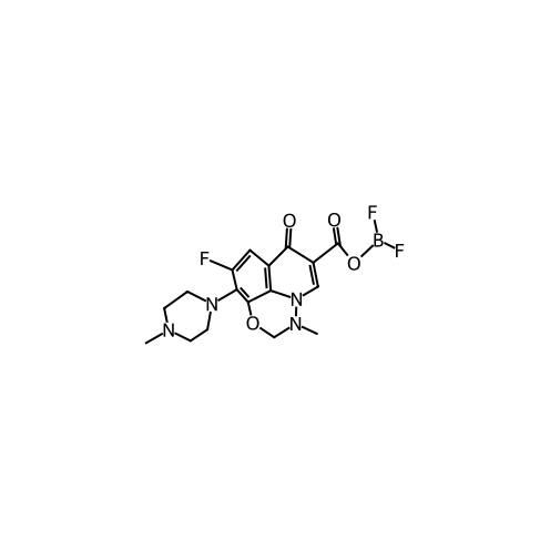 CN1CCN(c2c(F)cc3c(=O)c(C(=O)OB(F)F)cn4c3c2OCN4C)CC1